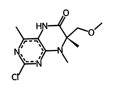 COC[C@@]1(C)C(=O)Nc2c(C)nc(Cl)nc2N1C